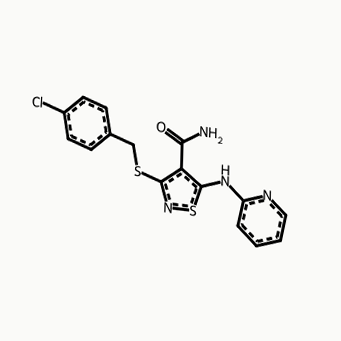 NC(=O)c1c(SCc2ccc(Cl)cc2)nsc1Nc1ccccn1